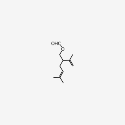 C=C(C)C(CC=C(C)C)COC=O